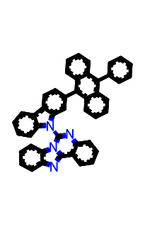 c1ccc(-c2c3ccccc3c(-c3ccc4c5ccccc5n(-c5nc6ccccc6c6nc7ccccc7n56)c4c3)c3ccccc23)cc1